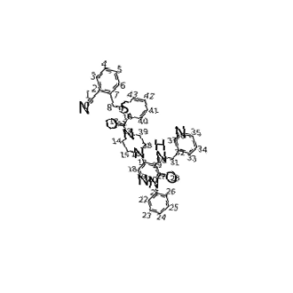 N#Cc1ccccc1CS1=C(C(=O)N2CCN(c3cnn(-c4ccccc4)c(=O)c3NCc3cccnc3)CC2)C=CC=C1